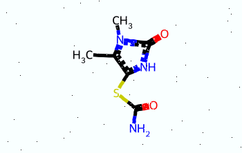 Cc1c(SC(N)=O)[nH]c(=O)n1C